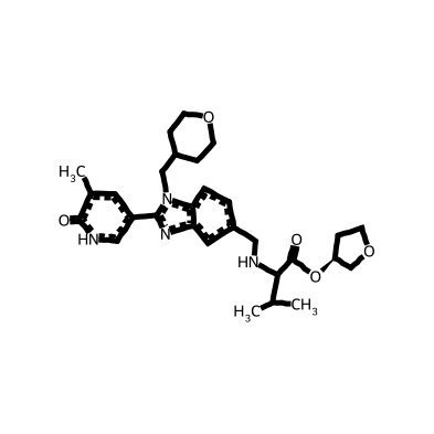 Cc1cc(-c2nc3cc(CNC(C(=O)O[C@H]4CCOC4)C(C)C)ccc3n2CC2CCOCC2)c[nH]c1=O